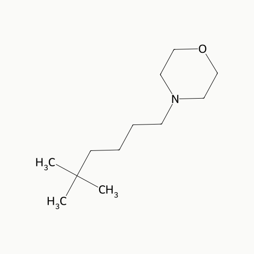 CC(C)(C)CCCCN1CCOCC1